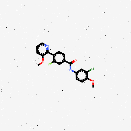 COc1ccc(NC(=O)c2ccc(-c3ncccc3OC)c(F)c2)cc1Cl